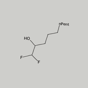 CCCCCCCCC(O)C(F)F